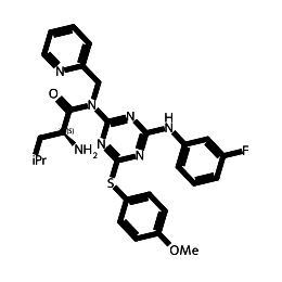 COc1ccc(Sc2nc(Nc3cccc(F)c3)nc(N(Cc3ccccn3)C(=O)[C@@H](N)CC(C)C)n2)cc1